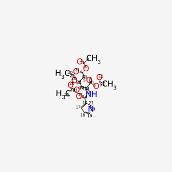 CC(=O)OC[C@H]1O[C@H](OC(C)=O)[C@@H](NC(=O)c2cccnc2)[C@@H](OC(C)=O)[C@@H]1OC(C)=O